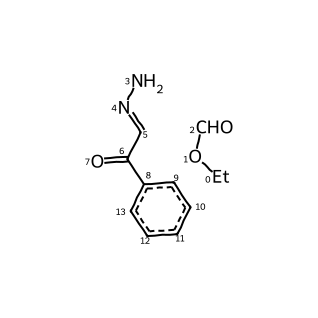 CCOC=O.NN=CC(=O)c1ccccc1